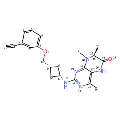 C#Cc1cccc(OC[C@H]2C[C@@H](Nc3nc(C)c4c(n3)N(C)[C@@H](C)C(=O)N4)C2)c1